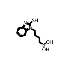 OB(O)CCCCn1c(S)nc2ccccc21